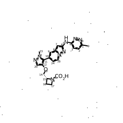 Cc1ccc(Nc2cc3cc(-c4c(OC[C@H]5CCN5C(=O)O)cnn4C)ccn3n2)nn1